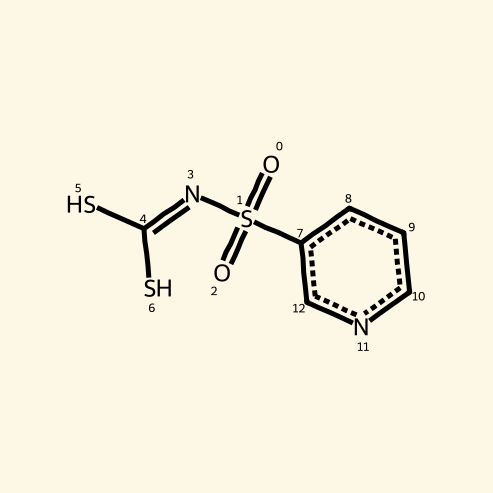 O=S(=O)(N=C(S)S)c1cccnc1